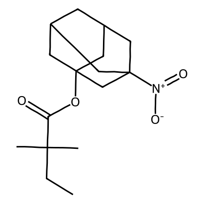 CCC(C)(C)C(=O)OC12CC3CC(C1)CC([N+](=O)[O-])(C3)C2